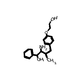 CC(Cc1ccc(OCCO)cc1)C(N)C(O)c1ccccc1